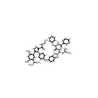 CCNC(=O)c1nnc(-c2cc(C(C)C)c(O)cc2O)n1-c1ccc(Oc2ccc3c(c2)OB([C@H](CC(C)C)NC(=O)C(Cc2ccccc2)NC(=O)c2cnccn2)O3)cc1